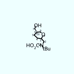 CC(C)(C)N(CC1CC[C@@H](CO)CO1)C(=O)O